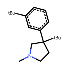 CN1CCC(c2cccc(C(C)(C)C)c2)(C(C)(C)C)C1